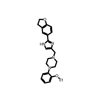 CCOc1ccccc1N1CCN(Cc2c[nH]c(-c3ccc4c(c3)CCO4)n2)CC1